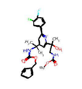 CC(C)(C)OC(=O)NCC(C)(O)c1cc(C(C)(C)NC(=O)OCc2ccccc2)cc(-c2ccc(F)c(Cl)c2)n1